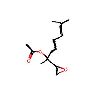 CC(=O)OC(C)(CCC=C(C)C)C1CO1